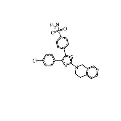 NS(=O)(=O)c1ccc(-c2sc(N3CCc4ccccc4C3)nc2-c2ccc(Cl)cc2)cc1